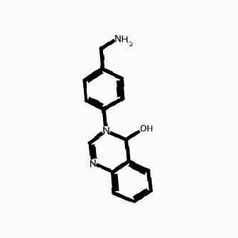 NCc1ccc(N2C=Nc3ccccc3C2O)cc1